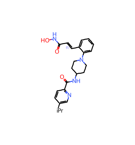 CC(C)c1ccc(C(=O)NC2CCN(c3ccccc3/C=C/C(=O)NO)CC2)nc1